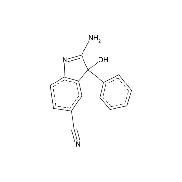 N#Cc1ccc2c(c1)C(O)(c1ccccc1)C(N)=N2